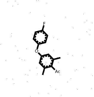 CC(=O)c1c(C)cc(Oc2ccc(F)cc2)cc1C